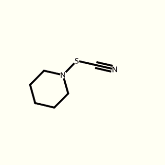 N#CSN1CCCCC1